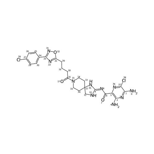 Nc1nc(N)c(C(=O)/N=C2\NCC3(CCN(C(=O)CCCc4nc(-c5ccc(Cl)cc5)no4)CC3)N2)nc1Cl